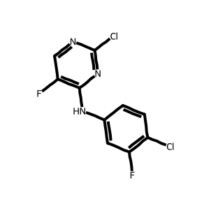 Fc1cc(Nc2nc(Cl)ncc2F)ccc1Cl